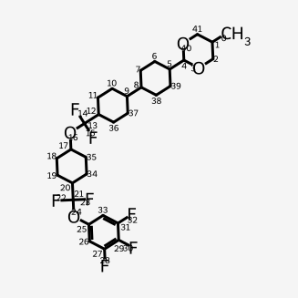 CC1COC(C2CCC(C3CCC(C(F)(F)OC4CCC(C(F)(F)Oc5cc(F)c(F)c(F)c5)CC4)CC3)CC2)OC1